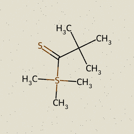 CC(C)(C)C(=S)S(C)(C)C